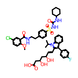 CC(C)n1c(/C=C/[C@@H](O)C[C@@H](O)CC(=O)O)c(-c2ccc(F)cc2)c2ccccc21.COc1ccc(Cl)cc1C(=O)NCCc1ccc(S(=O)(=O)NC(=O)NC2CCCCC2)cc1